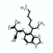 CCCCCC(CC)c1c(/C=C(\C#N)C(=O)O)ccc2c1OCO2